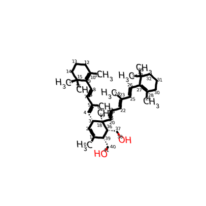 CC1=C[C@H](/C=C(C)/C=C/C2=C(C)CCCC2(C)C)[C@@](C)(/C=C/C=C(C)/C=C/C2=C(C)CCCC2(C)C)[C@H](CO)[C@@H]1CO